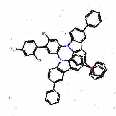 N#Cc1cc(C(F)(F)F)ccc1-c1cc(-n2c3ccc(-c4ccccc4)cc3c3cc(-c4ccccc4)ccc32)c(-n2c3ccc(-c4ccccc4)cc3c3cc(-c4ccccc4)ccc32)cc1C#N